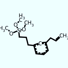 C=CCc1cccc(CCC[Si](OC)(OC)OC)c1